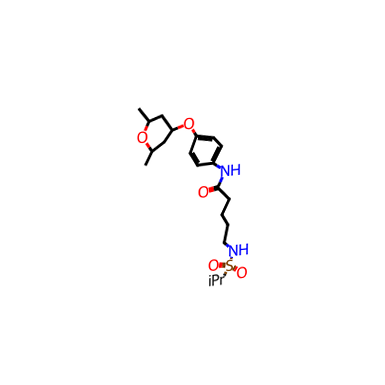 CC1CC(Oc2ccc(NC(=O)CCCCNS(=O)(=O)C(C)C)cc2)CC(C)O1